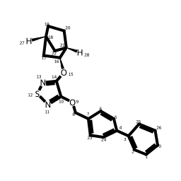 c1ccc(-c2ccc(COc3nsnc3O[C@H]3C[C@@H]4CC[C@H]3C4)cc2)cc1